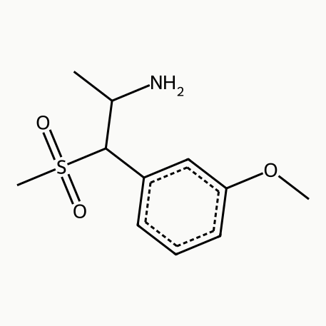 COc1cccc(C(C(C)N)S(C)(=O)=O)c1